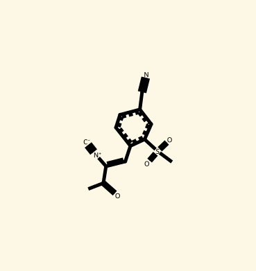 [C-]#[N+]C(=Cc1ccc(C#N)cc1S(C)(=O)=O)C(C)=O